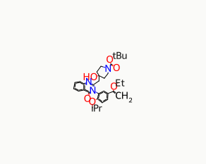 C=C(OCC)c1ccc(OC(C)C)c(-n2c(CC3(O)CCN(C(=O)OC(C)(C)C)CC3)nc3ccccc3c2=O)c1